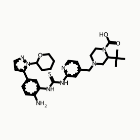 CC(C)(C)C1CN(Cc2ccnc(NC(=S)Nc3cc(-c4ccnn4C4CCCCO4)ccc3N)c2)CCN1C(=O)O